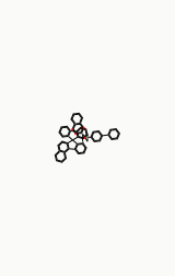 c1ccc(-c2ccc(N(c3ccc4ccccc4c3)c3cccc4c3C3(c5ccccc5-c5ccccc53)c3ccc5ccccc5c3-4)cc2)cc1